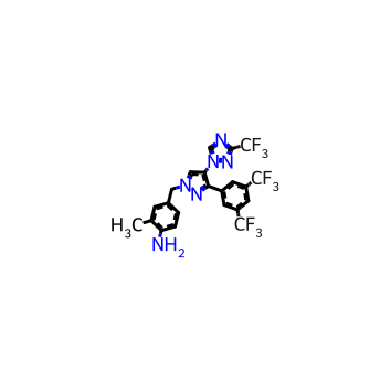 Cc1cc(Cn2cc(-n3cnc(C(F)(F)F)n3)c(-c3cc(C(F)(F)F)cc(C(F)(F)F)c3)n2)ccc1N